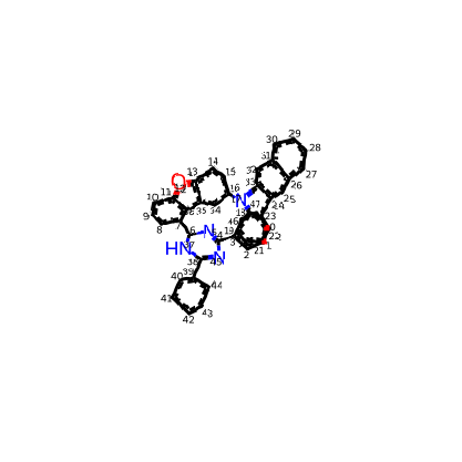 c1ccc(C2=NC(c3cccc4oc5ccc(-n6c7ccccc7c7cc8ccccc8cc76)cc5c34)NC(c3ccccc3)=N2)cc1